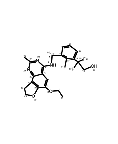 CCOc1cc2c(N[C@H](C)c3cccc(C(F)(F)CO)c3F)nc(C)nc2c2c1OCC2